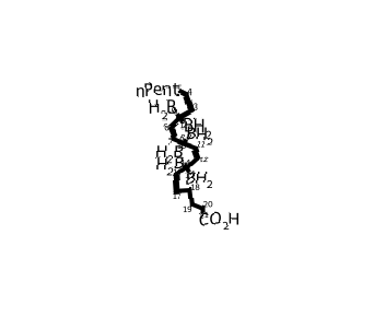 BC(B)(/C=C\CCCCC)/C=C\C(B)(B)/C=C\C(B)(B)/C=C\CCCC(=O)O